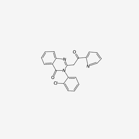 O=C(Cc1nc2ccccc2c(=O)n1-c1ccccc1Cl)c1ccccn1